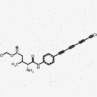 C#CC#CC#CC#Cc1ccc(NC(=O)[C@H](N)C(C)C[PH](=O)OCOC(C)=O)cc1